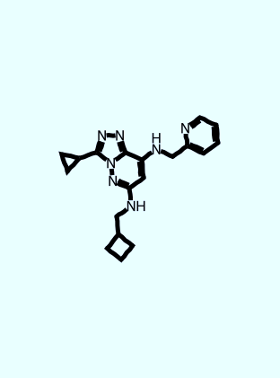 c1ccc(CNc2cc(NCC3CCC3)nn3c(C4CC4)nnc23)nc1